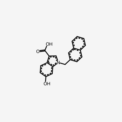 O=C(O)c1cn(Cc2ccc3ccccc3c2)c2cc(O)ccc12